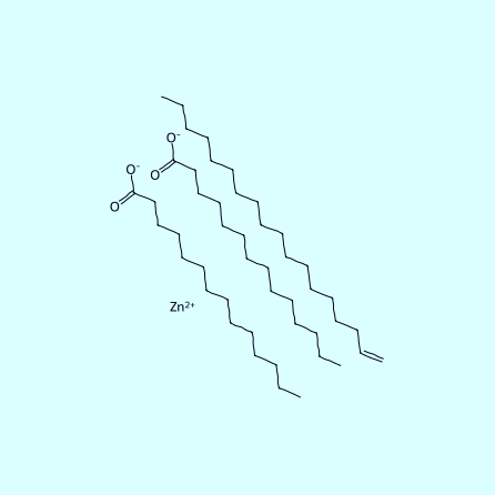 C=CCCCCCCCCCCCCCCCC.CCCCCCCCCCCCCC(=O)[O-].CCCCCCCCCCCCCC(=O)[O-].[Zn+2]